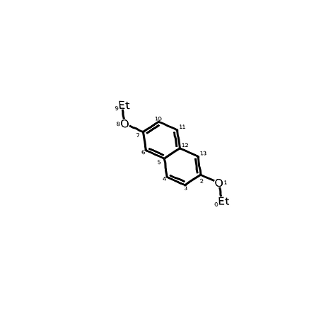 CCOc1ccc2cc(OCC)ccc2c1